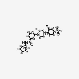 C[C@@H]1CN(c2ccc(S(C)(=O)=O)cc2F)CCN1c1nccc(C(=O)NC2CC3CCC2C3)n1